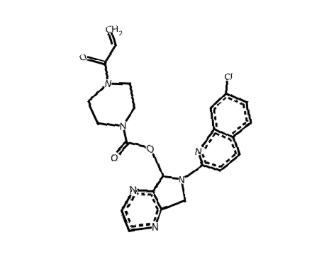 C=CC(=O)N1CCN(C(=O)OC2c3nccnc3CN2c2ccc3ccc(Cl)cc3n2)CC1